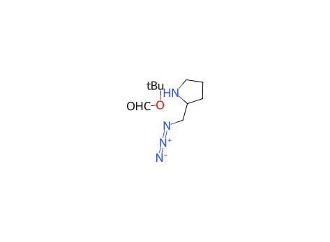 CC(C)(C)OC=O.[N-]=[N+]=NCC1CCCN1